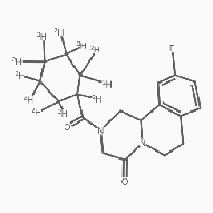 [2H]C1([2H])C([2H])([2H])C([2H])([2H])C([2H])(C(=O)N2CC(=O)N3CCc4ccc(F)cc4C3C2)C([2H])([2H])C1([2H])[2H]